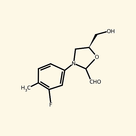 Cc1ccc(N2C[C@@H](CO)OC2C=O)cc1F